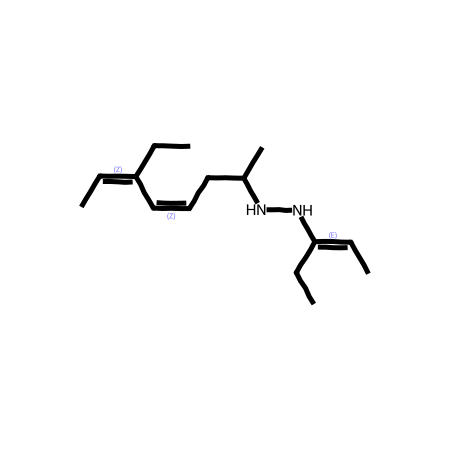 C/C=C(\C=C/CC(C)NN/C(=C/C)CC)CC